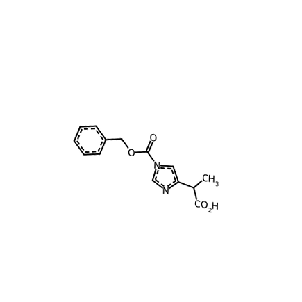 CC(C(=O)O)c1cn(C(=O)OCc2ccccc2)cn1